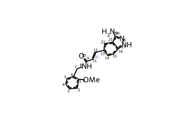 COc1ccccc1CNC(=O)/C=C/c1ccc2[nH]nc(N)c2c1